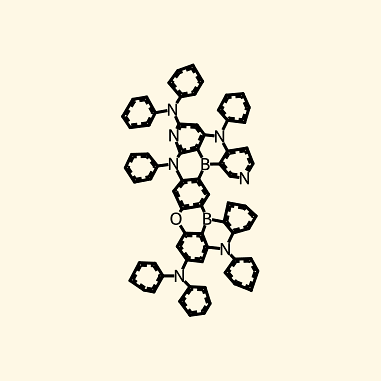 c1ccc(N(c2ccccc2)c2cc3c4c(c2)N(c2ccccc2)c2ccccc2B4c2cc4c(cc2O3)N(c2ccccc2)c2nc(N(c3ccccc3)c3ccccc3)cc3c2B4c2cnccc2N3c2ccccc2)cc1